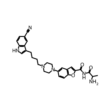 CC(N)C(=O)NC(=O)c1cc2cc(N3CCN(CCCCc4c[nH]c5ccc(C#N)cc45)CC3)ccc2o1